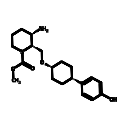 COC(=O)N1CCC[C@H](N)[C@@H]1CO[C@H]1CC[C@@H](c2ccc(O)cc2)CC1